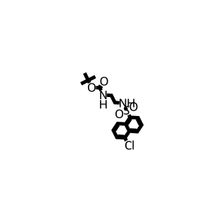 CC(C)(C)OC(=O)NCCNS(=O)(=O)c1cccc2c(Cl)cccc12